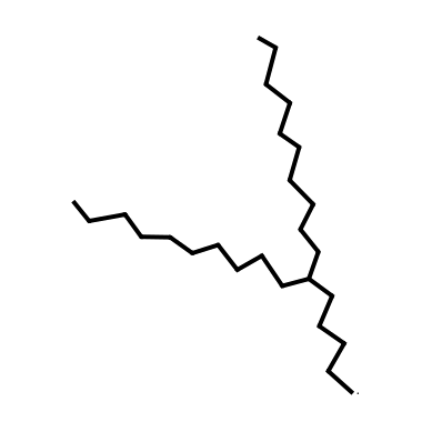 [CH2]CCCCC(CCCCCCCCCC)CCCCCCCCCC